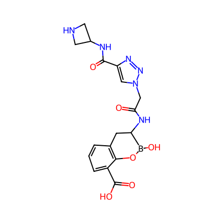 O=C(Cn1cc(C(=O)NC2CNC2)nn1)NC1Cc2cccc(C(=O)O)c2OB1O